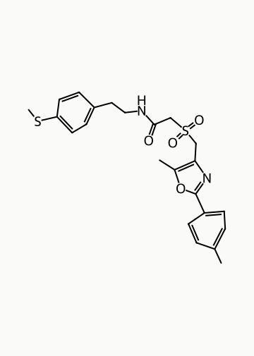 CSc1ccc(CCNC(=O)CS(=O)(=O)Cc2nc(-c3ccc(C)cc3)oc2C)cc1